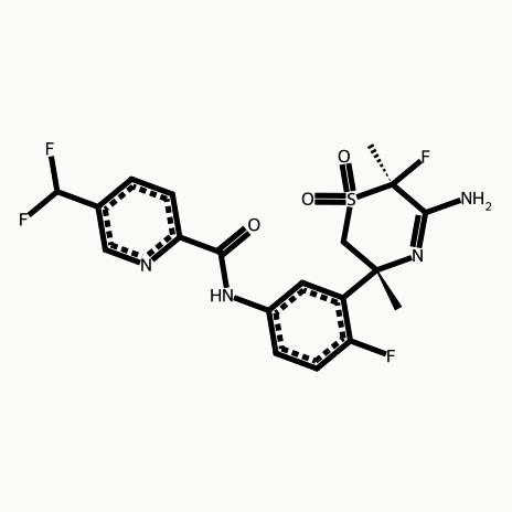 C[C@]1(F)C(N)=N[C@](C)(c2cc(NC(=O)c3ccc(C(F)F)cn3)ccc2F)CS1(=O)=O